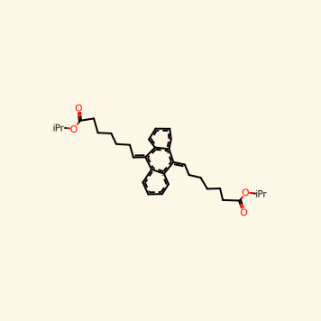 CC(C)OC(=O)CCCCCC=c1c2ccccc2c(=CCCCCCC(=O)OC(C)C)c2ccccc12